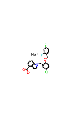 O=C([O-])c1cccc2c1ccn2Cc1cc(Cl)ccc1OCc1ccc(Cl)cc1F.[Na+]